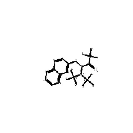 CC(C)(C)C(=O)[C@H](Cc1ccc2ccccc2c1)N(C(C)(C)C)C(C)(C)C